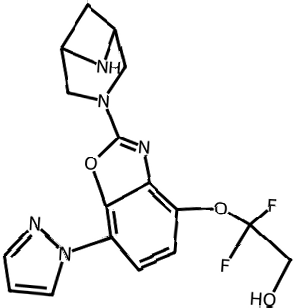 OCC(F)(F)Oc1ccc(-n2cccn2)c2oc(N3CC4CC(C3)N4)nc12